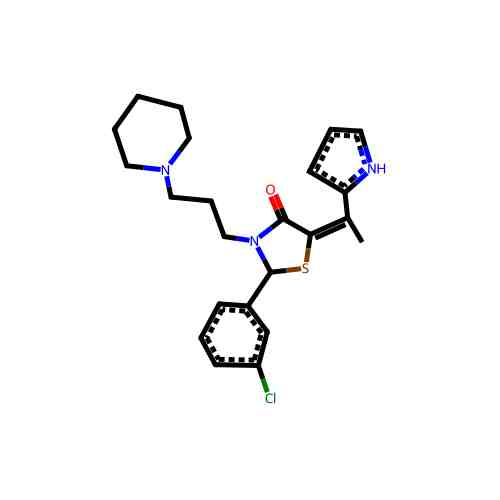 CC(=C1SC(c2cccc(Cl)c2)N(CCCN2CCCCC2)C1=O)c1ccc[nH]1